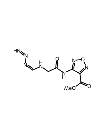 COC(=O)c1nonc1NC(=O)CN/C=N\N=N